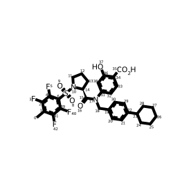 Cc1c(F)c(F)c(S(=O)(=O)N2CCC[C@H]2C(=O)N(Cc2ccc(C3CCCCC3)cc2)c2ccc(C(=O)O)c(O)c2)c(F)c1F